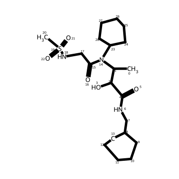 CC(C(O)C(=O)NCC1CCCCC1)N(C(=O)CNS(C)(=O)=O)C1CCCCC1